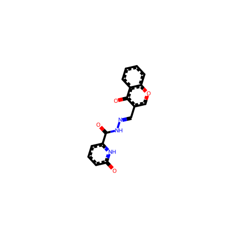 O=C(NN=Cc1coc2ccccc2c1=O)c1cccc(=O)[nH]1